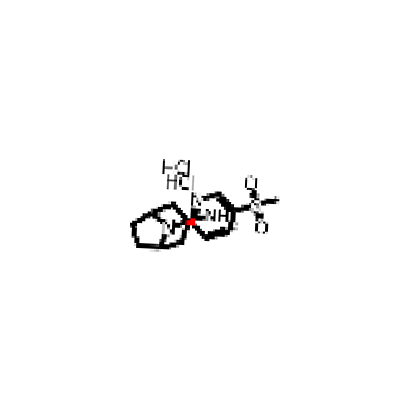 CS(=O)(=O)c1ccc(N2C3CCC2CC(N)C3)nc1.Cl.Cl